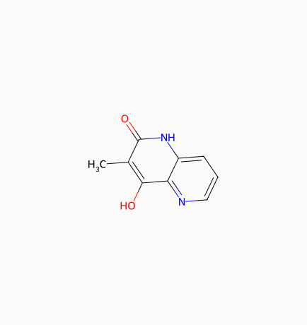 Cc1c(O)c2ncccc2[nH]c1=O